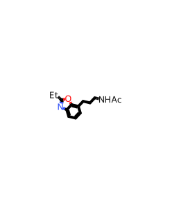 CCc1nc2cccc(CCCNC(C)=O)c2o1